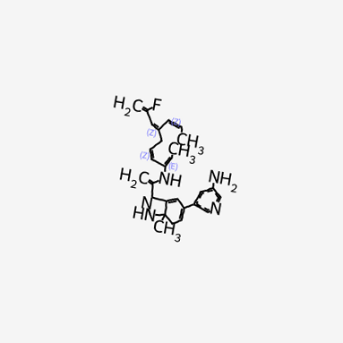 C=C(F)/C=C(\C=C/C)C/C=C\C(=C/C)NC(=C)C1=NNC2(C)CC=C(c3cncc(N)c3)C=C12